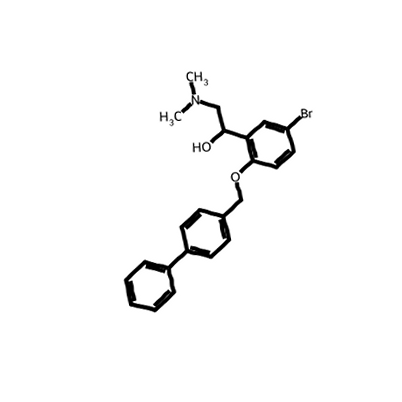 CN(C)CC(O)c1cc(Br)ccc1OCc1ccc(-c2ccccc2)cc1